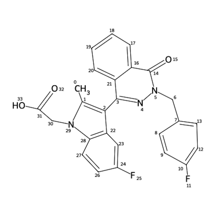 Cc1c(-c2nn(Cc3ccc(F)cc3)c(=O)c3ccccc23)c2cc(F)ccc2n1CC(=O)O